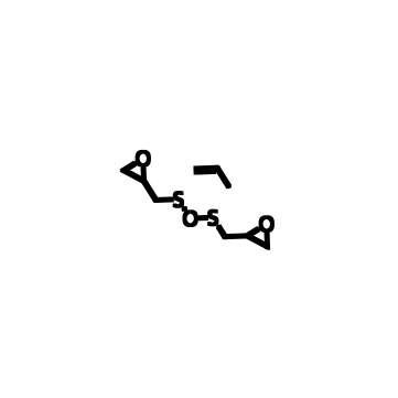 C1OC1CSOSCC1CO1.C=CC